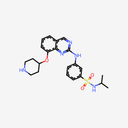 CC(C)NS(=O)(=O)c1cccc(Nc2ncc3cccc(OC4CCNCC4)c3n2)c1